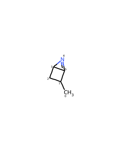 CC1CC2N=C12